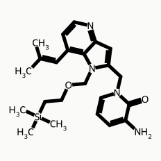 CC(C)=Cc1ccnc2cc(Cn3cccc(N)c3=O)n(COCC[Si](C)(C)C)c12